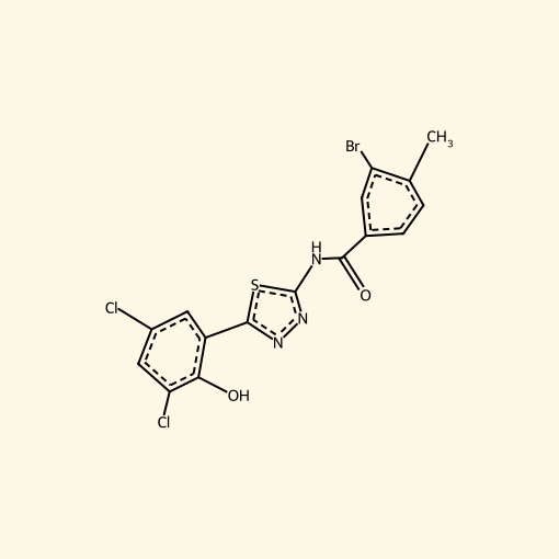 Cc1ccc(C(=O)Nc2nnc(-c3cc(Cl)cc(Cl)c3O)s2)cc1Br